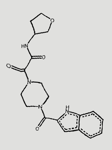 O=C(NC1CCOC1)C(=O)N1CCN(C(=O)c2cc3ccccc3[nH]2)CC1